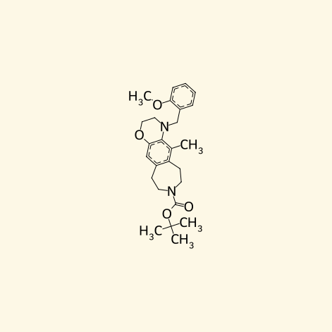 COc1ccccc1CN1CCOc2cc3c(c(C)c21)CCN(C(=O)OC(C)(C)C)CC3